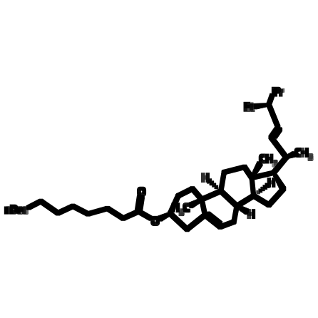 CCCCCCCCCCCCCCCCC(=O)O[C@H]1CC[C@@]2(C)C(=CC[C@H]3[C@@H]4CC[C@H]([C@H](C)/C=C/[C@@H](CC)C(C)C)[C@@]4(C)CC[C@@H]32)C1